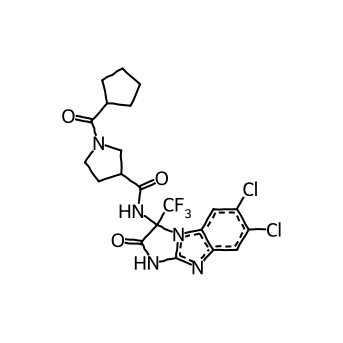 O=C(NC1(C(F)(F)F)C(=O)Nc2nc3cc(Cl)c(Cl)cc3n21)C1CCN(C(=O)C2CCCC2)C1